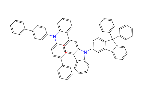 c1ccc(-c2ccc(N(c3ccc(-c4ccccc4)cc3)c3ccccc3-c3ccc4c5ccccc5n(-c5ccc6c(c5)-c5ccccc5C6(c5ccccc5)c5ccccc5)c4c3)cc2)cc1